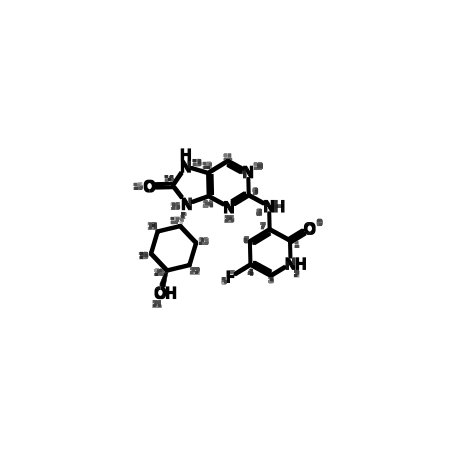 O=c1[nH]cc(F)cc1Nc1ncc2[nH]c(=O)n([C@H]3CC[C@H](O)CC3)c2n1